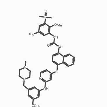 COc1c(NC(=O)Nc2ccc(Oc3ccnc(Nc4cc(CN5CCN(C)CC5)cc(C(=O)O)c4)c3)c3ccccc23)cc(C(C)(C)C)cc1P(C)(C)=O